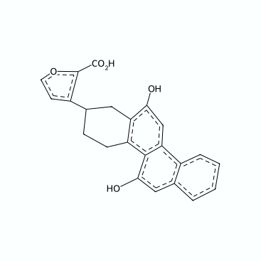 O=C(O)c1occc1C1CCc2c(c(O)cc3c2c(O)cc2ccccc23)C1